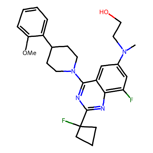 COc1ccccc1C1CCN(c2nc(C3(F)CCC3)nc3c(F)cc(N(C)CCO)cc23)CC1